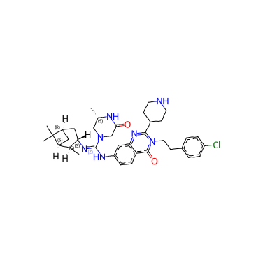 C[C@@H]1[C@@H](/N=C(/Nc2ccc3c(=O)n(CCc4ccc(Cl)cc4)c(C4CCNCC4)nc3c2)N2CC(=O)N[C@@H](C)C2)C[C@H]2C[C@@H]1C2(C)C